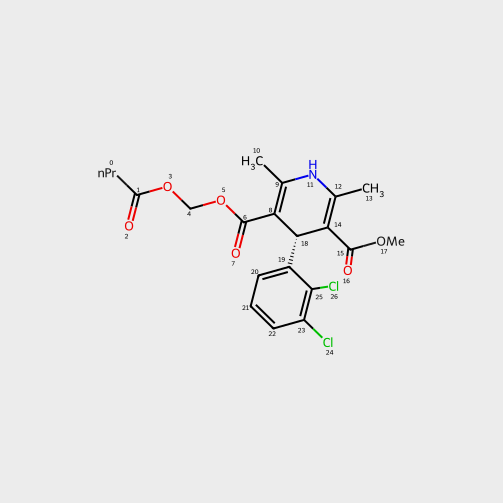 CCCC(=O)OCOC(=O)C1=C(C)NC(C)=C(C(=O)OC)[C@@H]1c1cccc(Cl)c1Cl